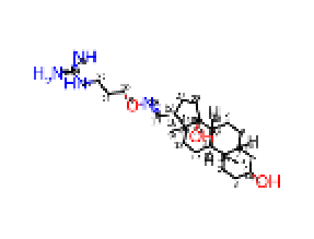 C[C@]12CC[C@H](O)C[C@H]1CC[C@@H]1[C@@H]2CC[C@]2(C)[C@@H](/C=N/OCCCNC(=N)N)CC[C@]12O